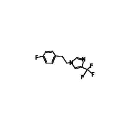 Fc1ccc(CCn2cnc(C(F)(F)F)c2)cc1